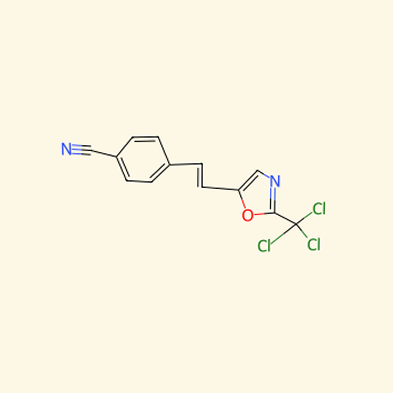 N#Cc1ccc(C=Cc2cnc(C(Cl)(Cl)Cl)o2)cc1